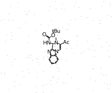 CC(=O)C1=Cn2c(nc3ccccc32)C(NC(=O)OC(C)(C)C)N1C